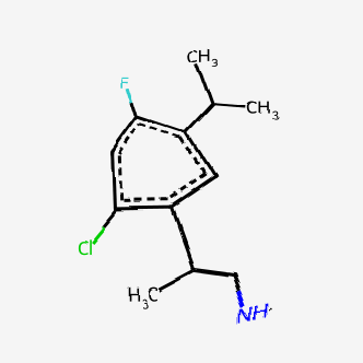 CC(C)c1cc(C(C)C[NH])c(Cl)cc1F